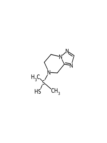 CS(C)(S)N1CCn2ncnc2C1